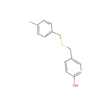 Cc1ccc(CSCc2ccc(O)cc2)cc1